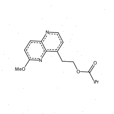 COc1ccc2nccc(CCOC(=O)C(C)C)c2n1